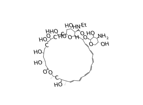 CCNC(=O)[C@H]1[C@@H]2CC(O[C@@H]3OC[C@@H](O)[C@H](N)[C@@H]3O)/C=C/C=C/C=C/C=C/C=C/C=C/C=C/[C@H](C)[C@@H](O)C[C@H](C)OC(=O)C[C@H](O)CC(O)CCC(O)C(O)CC(O)CC(O)(C[C@@H]1O)O2